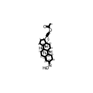 CC(=O)OC#C[C@@H]1CC[C@H]2[C@@H]3CCC4=CC(=NO)CC[C@@H]4[C@H]3CC[C@]12C